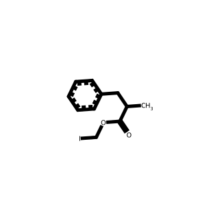 CC(Cc1ccccc1)C(=O)OCI